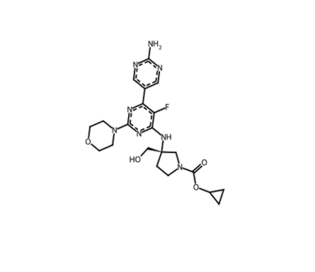 Nc1ncc(-c2nc(N3CCOCC3)nc(N[C@@]3(CO)CCN(C(=O)OC4CC4)C3)c2F)cn1